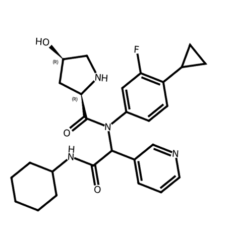 O=C(NC1CCCCC1)C(c1cccnc1)N(C(=O)[C@H]1C[C@@H](O)CN1)c1ccc(C2CC2)c(F)c1